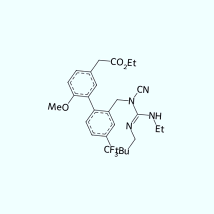 CCNC(=NCC(C)(C)C)N(C#N)Cc1cc(C(F)(F)F)ccc1-c1cc(CC(=O)OCC)ccc1OC